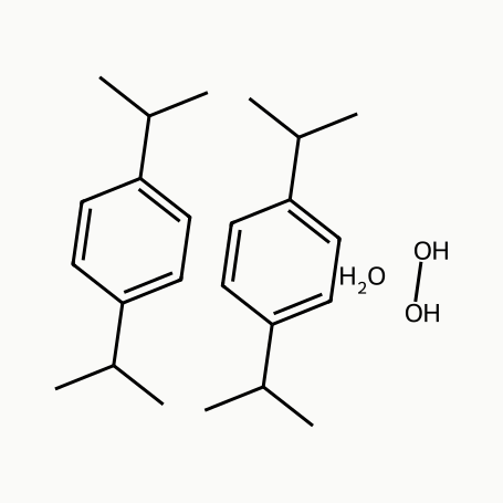 CC(C)c1ccc(C(C)C)cc1.CC(C)c1ccc(C(C)C)cc1.O.OO